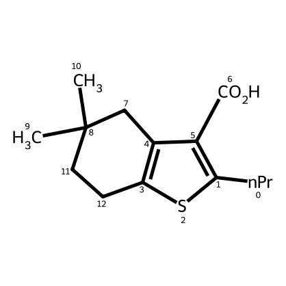 CCCc1sc2c(c1C(=O)O)CC(C)(C)CC2